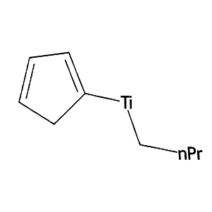 CCC[CH2][Ti][C]1=CC=CC1